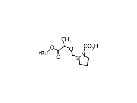 CC(OC[C@@H]1CCCN1C(=O)O)C(=O)OC(C)(C)C